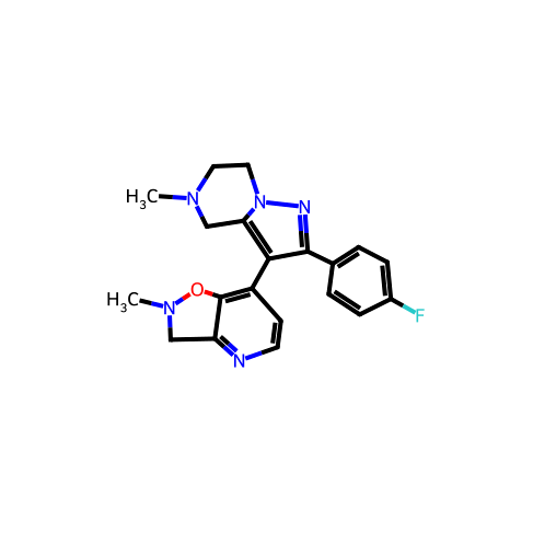 CN1CCn2nc(-c3ccc(F)cc3)c(-c3ccnc4c3ON(C)C4)c2C1